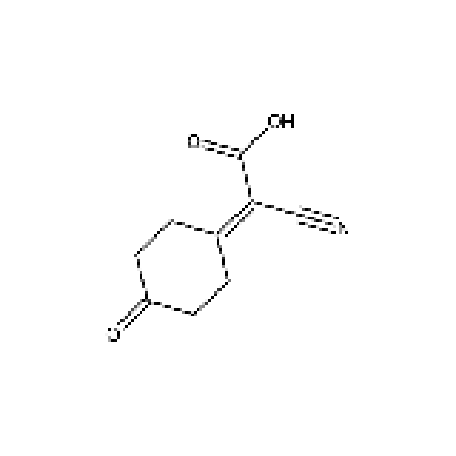 N#CC(C(=O)O)=C1CCC(=O)CC1